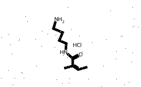 CC=C(C)C(=O)NCCCCN.Cl